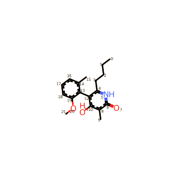 CCCCc1[nH]c(=O)c(C)c(O)c1-c1c(C)cccc1OC